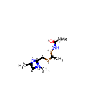 CNC(=O)NSC(C)SCc1nc(C)cn1C